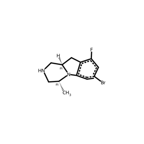 C[C@@H]1CNC[C@H]2Cc3c(F)cc(Br)cc3N21